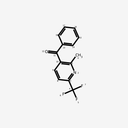 Cc1nc(C(F)(F)F)ccc1C(=O)c1ccccc1